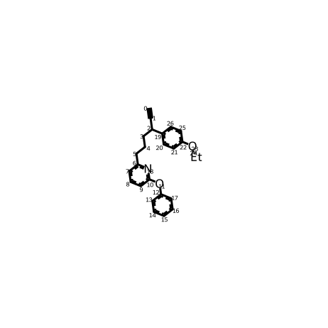 C#CC(CCCc1cccc(Oc2ccccc2)n1)c1ccc(OCC)cc1